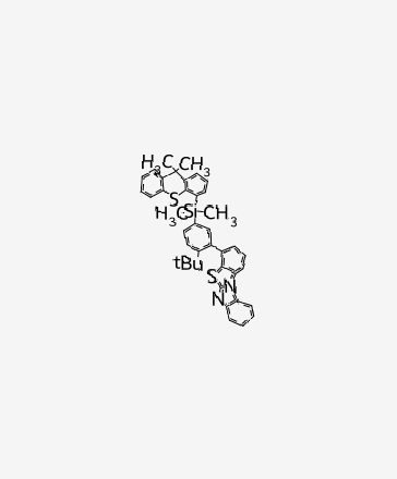 CC(C)(C)c1ccc([Si](C)(C)c2cccc3c2Sc2ccccc2C3(C)C)cc1-c1cccc2c1sc1nc3ccccc3n12